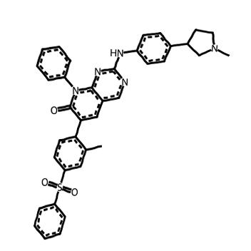 Cc1cc(S(=O)(=O)c2ccccc2)ccc1-c1cc2cnc(Nc3ccc(C4CCN(C)C4)cc3)nc2n(-c2ccccc2)c1=O